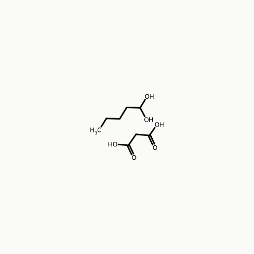 CCCCC(O)O.O=C(O)CC(=O)O